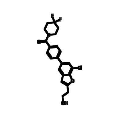 O=C(c1ccc(-c2cc(Cl)c3oc(CCO)cc3c2)cc1)N1CCC(F)(F)CC1